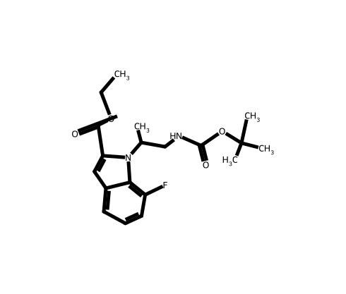 CCOC(=O)c1cc2cccc(F)c2n1C(C)CNC(=O)OC(C)(C)C